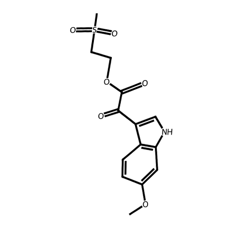 COc1ccc2c(C(=O)C(=O)OCCS(C)(=O)=O)c[nH]c2c1